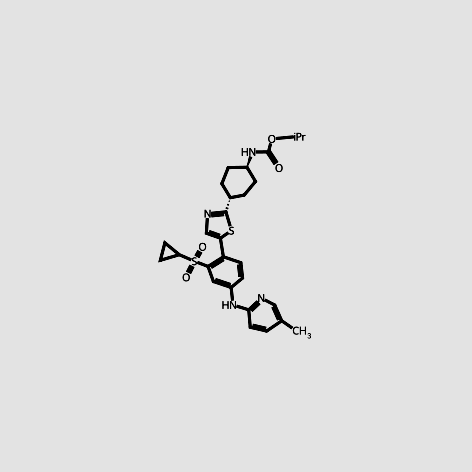 Cc1ccc(Nc2ccc(-c3cnc([C@H]4CC[C@H](NC(=O)OC(C)C)CC4)s3)c(S(=O)(=O)C3CC3)c2)nc1